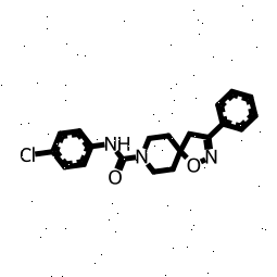 O=C(Nc1ccc(Cl)cc1)N1CCC2(CC1)CC(c1ccccc1)=NO2